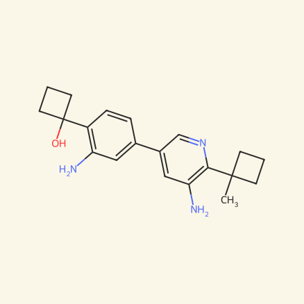 CC1(c2ncc(-c3ccc(C4(O)CCC4)c(N)c3)cc2N)CCC1